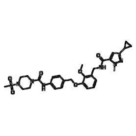 COc1c(CNC(=O)c2cc(C3CC3)nn2C)cccc1OCc1ccc(NC(=O)N2CCN(S(C)(=O)=O)CC2)cc1